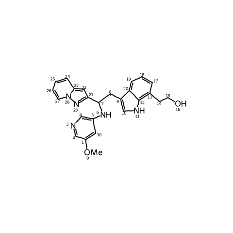 COc1cncc(NC([CH]c2c[nH]c3c(CCO)cccc23)c2cc3ccccn3n2)c1